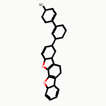 N#CC1CC=C(C2=CC(C3C=CC4OC5=C(CCC6=C5OC5C=CC=CC65)C4C3)CCC2)CC1